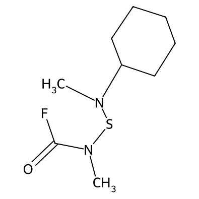 CN(SN(C)C1CCCCC1)C(=O)F